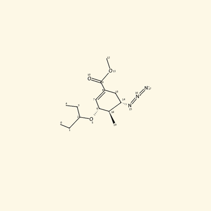 CCC(CC)O[C@@H]1C=C(C(=O)OC)C[C@H](N=[N+]=[N-])[C@H]1C